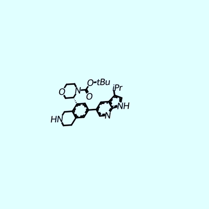 CC(C)c1c[nH]c2ncc(-c3cc4c(c([C@@H]5COCCN5C(=O)OC(C)(C)C)c3)CNCC4)cc12